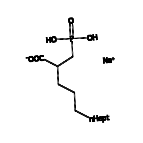 CCCCCCCCCCC(CP(=O)(O)O)C(=O)[O-].[Na+]